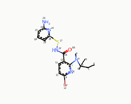 CCC(C)(C)N(C)c1nc(Br)ccc1C(=O)NSc1cccc(N)n1